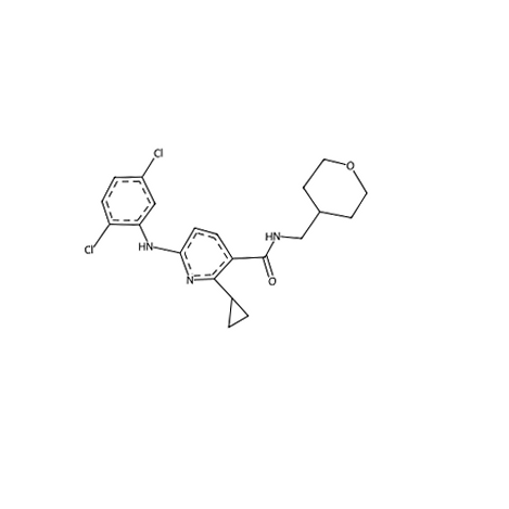 O=C(NCC1CCOCC1)c1ccc(Nc2cc(Cl)ccc2Cl)nc1C1CC1